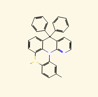 Cc1ccc2c(c1)N1c3ncccc3C(c3ccccc3)(c3ccccc3)c3cccc(c31)[S+]2[O-]